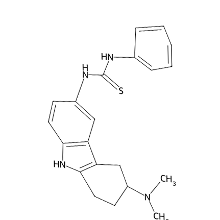 CN(C)C1CCc2[nH]c3ccc(NC(=S)Nc4ccccc4)cc3c2C1